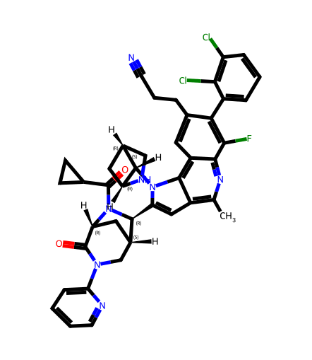 Cc1nc2c(F)c(-c3cccc(Cl)c3Cl)c(CCC#N)cc2c2c1cc([C@H]1[C@H]3C[C@H](C(=O)N(c4ccccn4)C3)N1C(=O)C1CC1)n2[C@H]1[C@H]2CN[C@@H]1C2